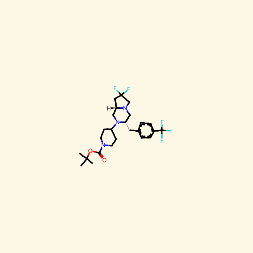 CC(C)(C)OC(=O)N1CCC(N2C[C@@H]3CC(F)(F)CN3C[C@@H]2Cc2ccc(C(F)(F)F)cc2)CC1